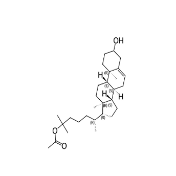 CC(=O)OC(C)(C)CCC[C@@H](C)[C@H]1CC[C@H]2[C@@H]3CC=C4CC(O)CC[C@]4(C)[C@H]3CC[C@]12C